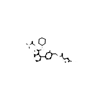 CN(C)C(=O)N[C@@H]1CCCC[C@H]1Nc1n[nH]c2nccc(-c3ccc(CNC(=O)c4cc(C(C)(C)C)on4)c(F)c3)c12